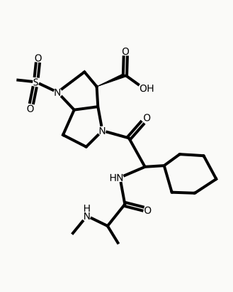 CNC(C)C(=O)NC(C(=O)N1CCC2C1[C@H](C(=O)O)CN2S(C)(=O)=O)C1CCCCC1